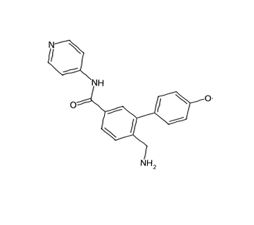 NCc1ccc(C(=O)Nc2ccncc2)cc1-c1ccc([O])cc1